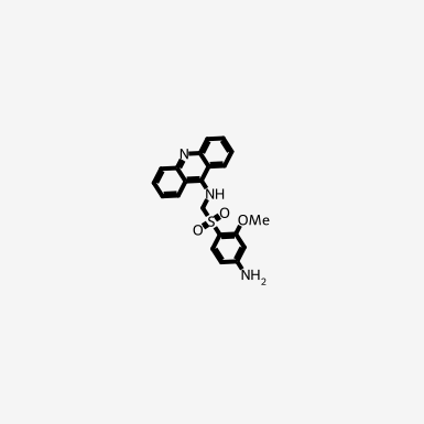 COc1cc(N)ccc1S(=O)(=O)CNc1c2ccccc2nc2ccccc12